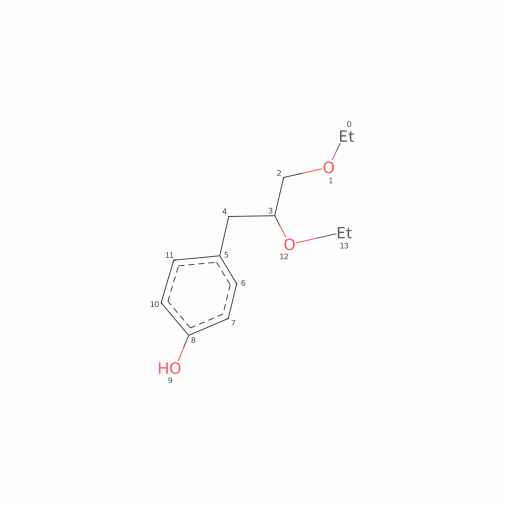 CCOCC(Cc1ccc(O)cc1)OCC